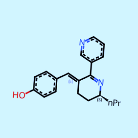 CCC[C@H]1CC/C(=C\c2ccc(O)cc2)C(c2cccnc2)=N1